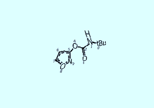 CC(C)(C)NC(=O)Oc1ccon1